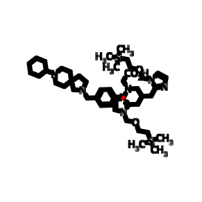 C[Si](C)(C)CCOCn1ccnc1CC(Cc1nccn1COCC[Si](C)(C)C)CN(CC(=O)O)Cc1ccc(CN2CCC3(CCN(C4CCCCC4)CC3)C2)cc1